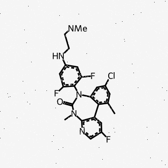 CNCCNc1cc(F)c(N2C(=O)N(C)c3ncc(F)cc3-c3c(C)cc(Cl)cc32)c(F)c1